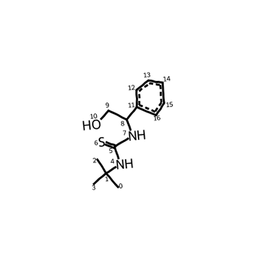 CC(C)(C)NC(=S)NC(CO)c1ccccc1